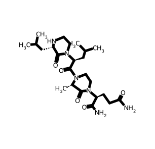 CC(C)C[C@@H]1NCCN([C@@H](CC(C)C)C(=O)N2CCN([C@@H](CCC(N)=O)C(N)=O)C(=O)[C@@H]2C)C1=O